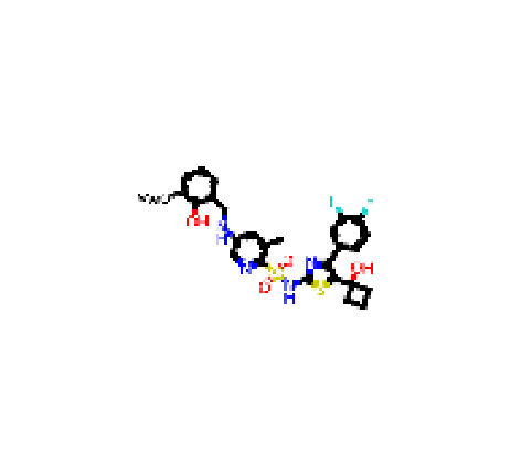 COc1cccc(CNc2cnc(S(=O)(=O)Nc3nc(-c4ccc(F)c(F)c4)c(C4(O)CCC4)s3)c(C)c2)c1O